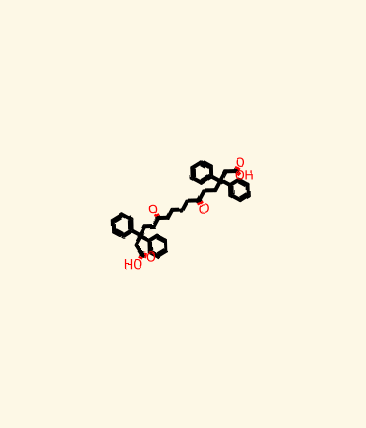 O=C(O)CC(CCC(=O)CCCCC(=O)CCC(CC(=O)O)(c1ccccc1)c1ccccc1)(c1ccccc1)c1ccccc1